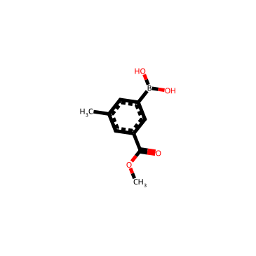 COC(=O)c1cc(C)cc(B(O)O)c1